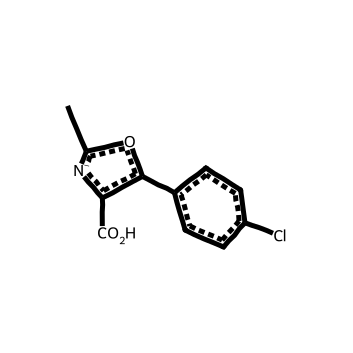 Cc1nc(C(=O)O)c(-c2ccc(Cl)cc2)o1